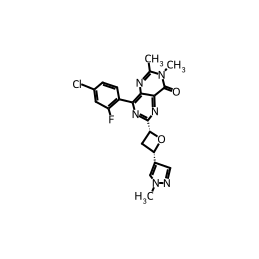 Cc1nc2c(-c3ccc(Cl)cc3F)nc([C@H]3C[C@@H](c4cnn(C)c4)O3)nc2c(=O)n1C